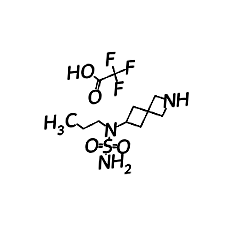 CCCN(C1CC2(CNC2)C1)S(N)(=O)=O.O=C(O)C(F)(F)F